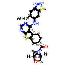 COc1cc2nnsc2cc1Nc1ncnc2sc3c(c12)CC[C@H](C(=O)N1C[C@H]2C[C@@H]1CO2)C3